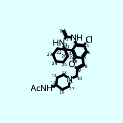 C=C1Nc2c(Cl)cc3cc(CN4CCC(NC(C)=O)CC4)oc3c2C2(CCCCC2)N1